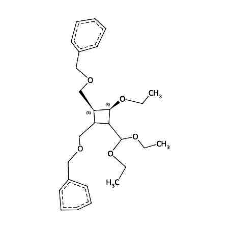 CCOC(OCC)C1C(COCc2ccccc2)[C@@H](COCc2ccccc2)[C@H]1OCC